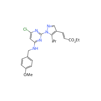 CCOC(=O)C=Cc1cnn(-c2nc(Cl)cc(NCc3ccc(OC)cc3)n2)c1C(C)C